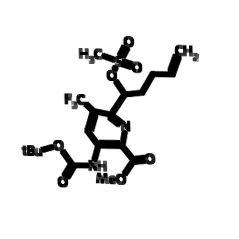 C=CCCC(OS(C)(=O)=O)c1nc(C(=O)OC)c(NC(=O)OC(C)(C)C)cc1C(F)(F)F